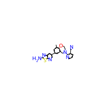 Cc1cc(-c2cnc3sc(N)nc3c2)cc2c1OCCN(c1ncccc1C#N)C2